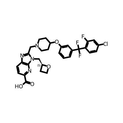 O=C(O)c1ccc2nc(CN3CCC(Oc4cccc(C(F)(F)c5ccc(Cl)cc5F)c4)CC3)n(C[C@@H]3CCO3)c2n1